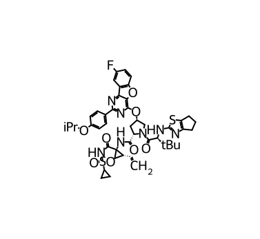 C=C[C@@H]1C[C@]1(NC(=O)[C@@H]1C[C@@H](Oc2nc(-c3ccc(OC(C)C)cc3)nc3c2oc2ccc(F)cc23)CN1C(=O)[C@@H](Nc1nc2c(s1)CCC2)C(C)(C)C)C(=O)NS(=O)(=O)C1CC1